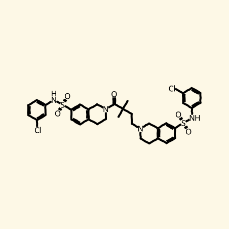 CC(C)(CCN1CCc2ccc(S(=O)(=O)Nc3cccc(Cl)c3)cc2C1)C(=O)N1CCc2ccc(S(=O)(=O)Nc3cccc(Cl)c3)cc2C1